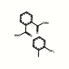 COC(=O)c1ccccc1C(=O)OC.Cc1ccccc1N